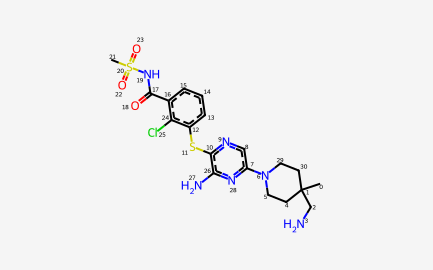 CC1(CN)CCN(c2cnc(Sc3cccc(C(=O)NS(C)(=O)=O)c3Cl)c(N)n2)CC1